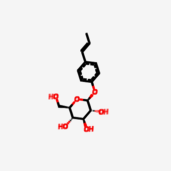 CC=Cc1ccc(O[C@@H]2O[C@H](CO)[C@@H](O)[C@H](O)[C@H]2O)cc1